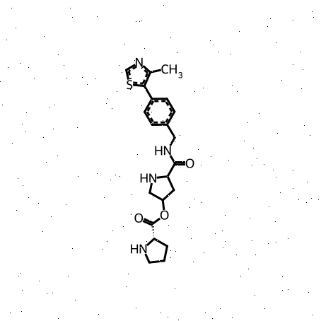 Cc1ncsc1-c1ccc(CNC(=O)C2CC(OC(=O)[C@@H]3CCCN3)CN2)cc1